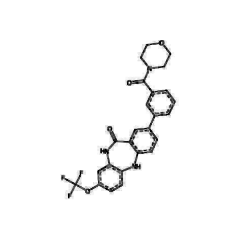 O=C1Nc2cc(OC(F)(F)F)ccc2Nc2ccc(-c3cccc(C(=O)N4CCOCC4)c3)cc21